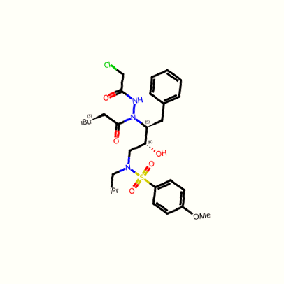 CC[C@H](C)CC(=O)N(NC(=O)CCl)[C@@H](Cc1ccccc1)[C@H](O)CN(CC(C)C)S(=O)(=O)c1ccc(OC)cc1